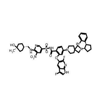 CC(C)c1ccccc1[C@H]1CCC[C@H]1N1CC2(CCN(c3ccc(C(=O)NS(=O)(=O)c4cnc(NC[C@H]5CC[C@](C)(O)CC5)c([N+](=O)[O-])c4)c(Oc4cc5c(F)c[nH]c5nc4F)c3)CC2)C1